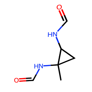 CC1(NC=O)CC1NC=O